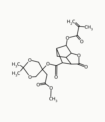 C=C(C)C(=O)OC1C2CC3C1OC(=O)C3C2C(=O)OC1(CC(=O)OC)COC(C)(C)OC1